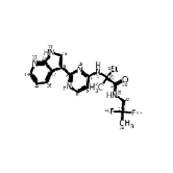 CC[C@@](C)(Nc1ccnc(-c2c[nH]c3ncccc23)n1)C(=O)NCC(C)(F)F